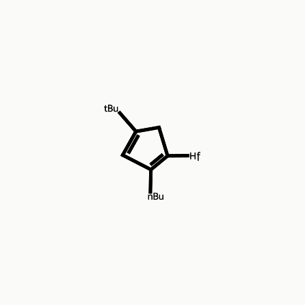 CCCCC1=[C]([Hf])CC(C(C)(C)C)=C1